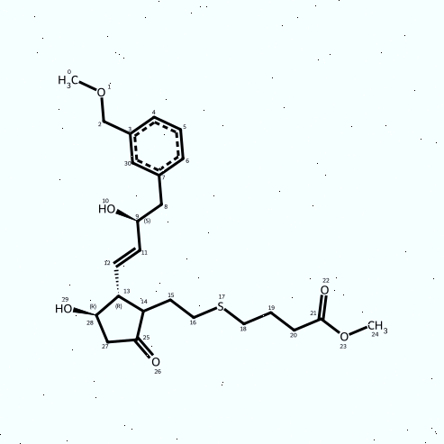 COCc1cccc(C[C@H](O)C=C[C@@H]2C(CCSCCCC(=O)OC)C(=O)C[C@H]2O)c1